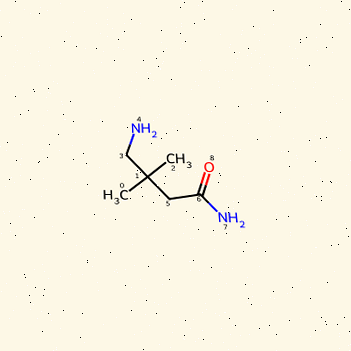 CC(C)(CN)CC(N)=O